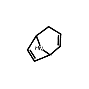 C1=C[C]2C=CC(C1)N2